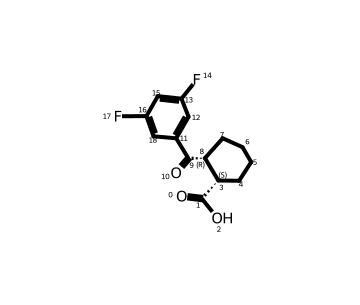 O=C(O)[C@H]1CCCC[C@H]1C(=O)c1cc(F)cc(F)c1